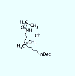 C=C(C)C(=O)NCCC[N+](C)(C)CCCCCCCCCCCCCCC.[Cl-]